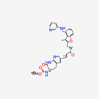 Cc1c(CN(C)C(=O)/C=C/c2cnc3c(c2)CC[C@H](NC(=O)OC(C)(C)C)C(=O)N3)oc2cccc(CNc3cccnc3)c12